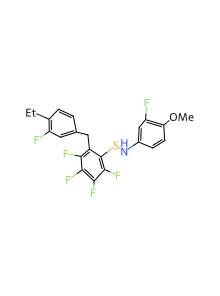 CCc1ccc(Cc2c(F)c(F)c(F)c(F)c2SNc2ccc(OC)c(F)c2)cc1F